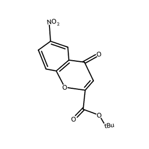 CC(C)(C)OC(=O)c1cc(=O)c2cc([N+](=O)[O-])ccc2o1